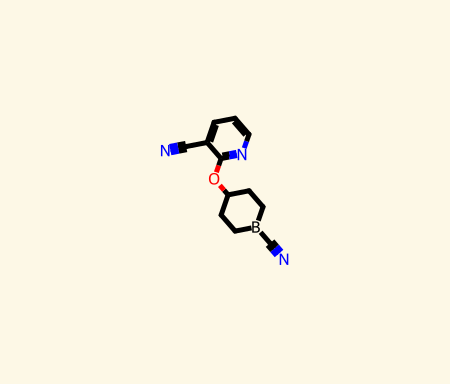 N#CB1CCC(Oc2ncccc2C#N)CC1